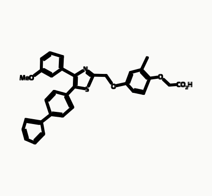 COc1cccc(-c2nc(COc3ccc(OCC(=O)O)c(C)c3)sc2-c2ccc(-c3ccccc3)cc2)c1